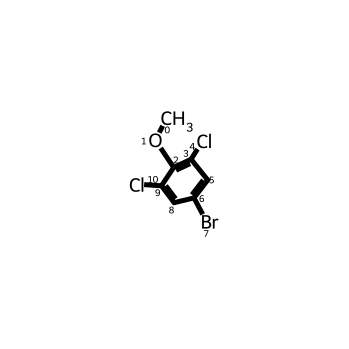 COc1c(Cl)cc(Br)cc1Cl